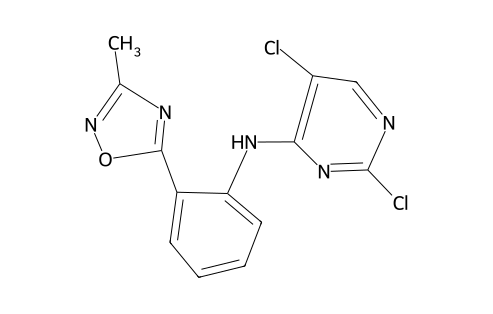 Cc1noc(-c2ccccc2Nc2nc(Cl)ncc2Cl)n1